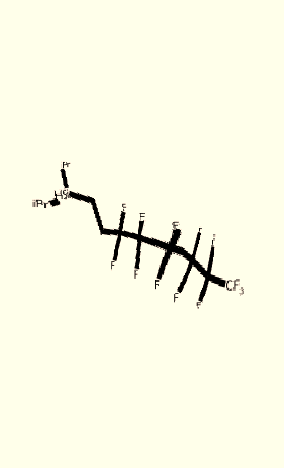 CC(C)[SiH](CCC(F)(F)C(F)(F)C(F)(F)C(F)(F)C(F)(F)C(F)(F)F)C(C)C